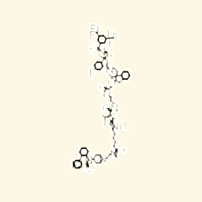 Cc1nc(NCCCCCC(=O)N(C)CCN2CCC(N(C(=O)O)c3ccccc3-c3ccccc3)CC2)sc1C(=O)N(C)CCCN(C)C(=O)CO[C@H]1Cc2ccccc2C12CCN(CC[C@@]1(c3ccc(F)cc3)CN(C(=O)c3cc(C(F)(F)F)cc(C(F)(F)F)c3)CO1)CC2